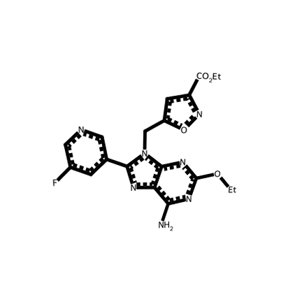 CCOC(=O)c1cc(Cn2c(-c3cncc(F)c3)nc3c(N)nc(OCC)nc32)on1